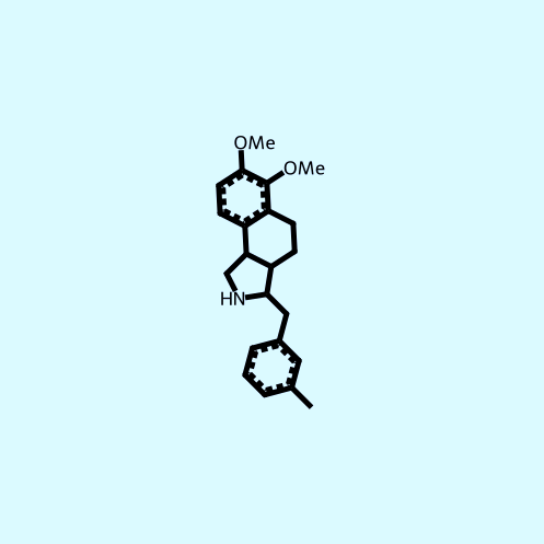 COc1ccc2c(c1OC)CCC1C(Cc3cccc(C)c3)NCC21